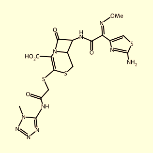 CON=C(C(=O)NC1C(=O)N2C(C(=O)O)=C(SCC(=O)Nc3nnnn3C)SCC12)c1csc(N)n1